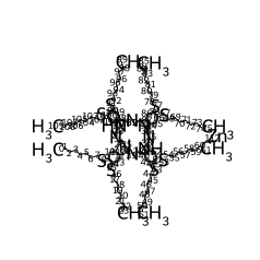 CCCCCCCCSc1cc2c(cc1SCCCCCCCC)-c1nc-2nc2[nH]c(nc3nc(nc4[nH]c(n1)c1cc(SCCCCCCCC)c(SCCCCCCCC)cc41)-c1cc(SCCCCCCCC)c(SCCCCCCCC)cc1-3)c1cc(SCCCCCCCC)c(SCCCCCCCC)cc21.[Zn]